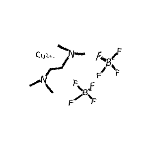 CN(C)CCN(C)C.F[B-](F)(F)F.F[B-](F)(F)F.[Cu+2]